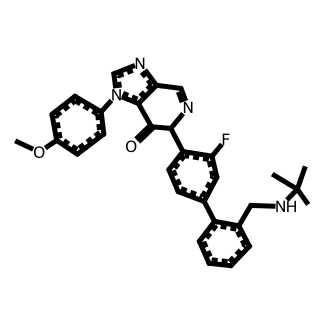 COc1ccc(-n2cnc3c2C(=O)C(c2ccc(-c4ccccc4CNC(C)(C)C)cc2F)N=C3)cc1